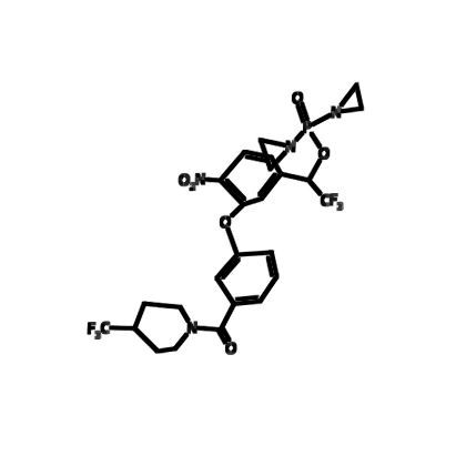 O=C(c1cccc(Oc2cc(C(OP(=O)(N3CC3)N3CC3)C(F)(F)F)ccc2[N+](=O)[O-])c1)N1CCC(C(F)(F)F)CC1